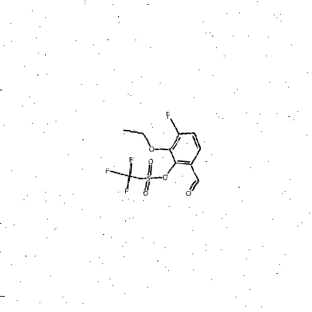 CCOc1c(F)ccc(C=O)c1OS(=O)(=O)C(F)(F)F